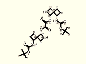 CC(C)(C)OC(=O)N[C@H]1CC[C@]12CN[C@H]2OC(=O)C(=O)O[C@@H]1NC[C@]12CC[C@@H]2NC(=O)OC(C)(C)C